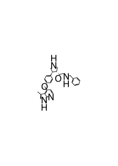 Cc1c[nH]c2nccc(Oc3ccc([C@H]4CNC[C@@H]4C(=O)CNCc4ccccc4)cc3)c12